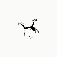 C[C@H](O)C(=O)O.[Na]